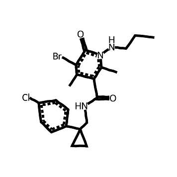 CCCNn1c(C)c(C(=O)NCC2(c3ccc(Cl)cc3)CC2)c(C)c(Br)c1=O